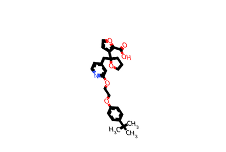 CC(C)(C)c1ccc(OCCOc2cc(CC3(c4ccoc4C(=O)O)CCCO3)ccn2)cc1